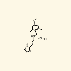 COc1cc(C)c(CNCCCc2ncc[nH]2)c(C)c1.Cl.Cl